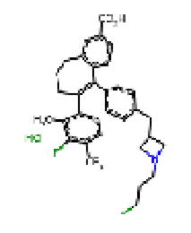 Cc1c(C2=C(c3ccc(CC4CN(CCCF)C4)cc3)c3ccc(C(=O)O)cc3CCC2)ccc(C(F)(F)F)c1F.Cl